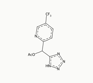 CC(=O)OC(c1ccc(C(F)(F)F)cn1)c1nnn[nH]1